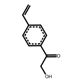 C=Cc1ccc(C(=O)CO)cc1